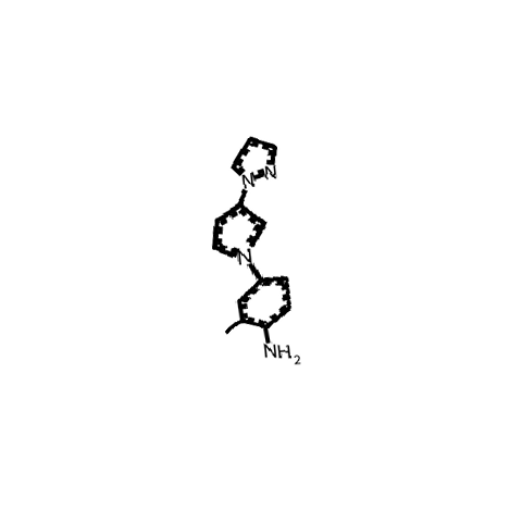 Cc1cc(-n2ccc(-n3cccn3)c2)ccc1N